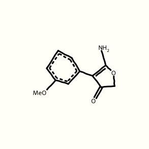 COc1cccc(C2=C(N)OCC2=O)c1